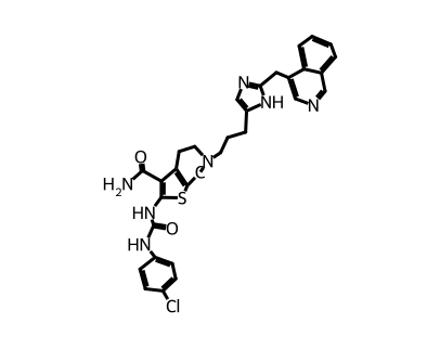 NC(=O)c1c(NC(=O)Nc2ccc(Cl)cc2)sc2c1CCN(CCCc1cnc(Cc3cncc4ccccc34)[nH]1)C2